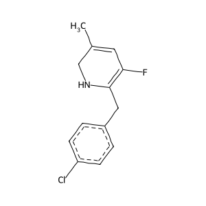 CC1=CC(F)=C(Cc2ccc(Cl)cc2)NC1